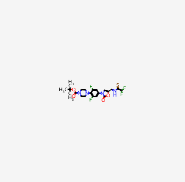 CC(C)(C)OC(=O)N1CCN(c2c(F)cc(N3C[C@@H](CNC(=S)C(F)F)OC3=O)cc2F)CC1